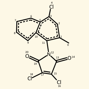 Cc1cc(Cl)c2ccccc2c1N1C(=O)C(Cl)=C(Cl)C1=O